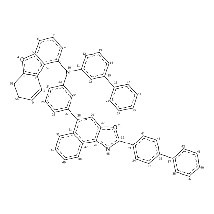 C1=Cc2c(oc3cccc(N(c4cccc(-c5ccccc5)c4)c4cccc(-c5cc6oc(-c7ccc(-c8ccccc8)cc7)nc6c6ccccc56)c4)c23)CC1